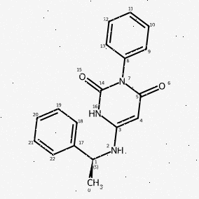 C[C@H](Nc1cc(=O)n(-c2ccccc2)c(=O)[nH]1)c1ccccc1